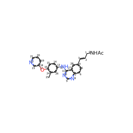 CC(=O)NCC=Cc1ccc2ncnc(Nc3ccc(Oc4cccnc4)c(C)c3)c2c1